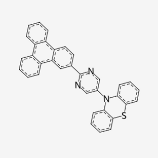 c1ccc2c(c1)Sc1ccccc1N2c1cnc(-c2ccc3c4ccccc4c4ccccc4c3c2)nc1